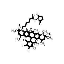 CC1=CC(C)(C)N(C)c2cc3c(cc21)C(c1c(Cl)c(Cl)c(Cl)c(Cl)c1C(=O)O)=c1cc2c(cc1C3(C)C)=[N+](CCCCCC(=O)ON1C(=O)CCC1=O)C(C)(C)C=C2C